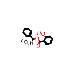 O=C(OC(C(=O)O)c1ccccc1)c1ccccc1O